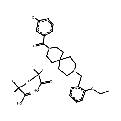 CCOc1ccccc1CN1CCC2(CC1)CCN(C(=O)c1ccnc(Cl)c1)CC2.O=C(O)C(F)(F)F.O=C(O)C(F)(F)F